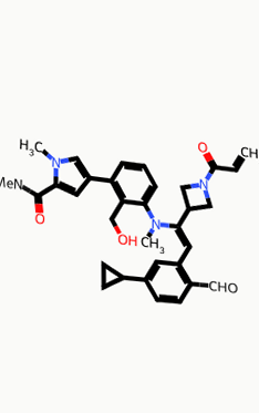 C=CC(=O)N1CC(/C(=C/c2cc(C3CC3)ccc2C=O)N(C)c2cccc(-c3cc(C(=O)NC)n(C)c3)c2CO)C1